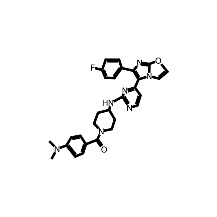 CN(C)c1ccc(C(=O)N2CCC(Nc3nccc(-c4c(-c5ccc(F)cc5)nc5occn45)n3)CC2)cc1